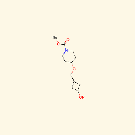 CC(C)(C)OC(=O)N1CCC(OCC2CC(O)C2)CC1